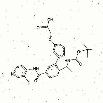 CC(NC(=O)OC(C)(C)C)c1ccc(C(=O)Nc2ccncc2F)cc1-c1cccc(OCC(=O)O)c1